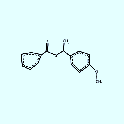 COc1ccc(C(C)SC(=S)c2ccccc2)cc1